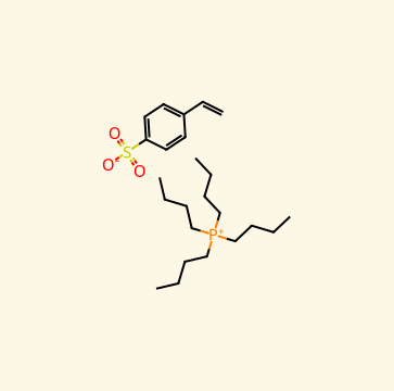 C=Cc1ccc(S(=O)(=O)[O-])cc1.CCCC[P+](CCCC)(CCCC)CCCC